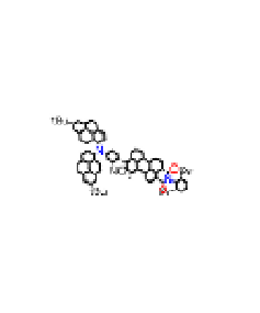 CC(C)c1cccc(C(C)C)c1N1C(=O)c2ccc3c4cccc5c(-c6ccc(N(c7ccc8ccc9cc(C(C)(C)C)cc%10ccc7c8c9%10)c7ccc8ccc9cc(C(C)(C)C)cc%10ccc7c8c9%10)cc6[N+](=O)[O-])ccc(c6ccc(c2c36)C1=O)c54